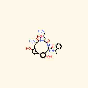 C[C@@H](NC(=O)[C@@H]1Cc2cc(ccc2O)-c2ccc(O)c(c2)C[C@H](N)C(=O)N[C@@H](C[C@@H](O)CN)C(=O)N1)c1ccccc1